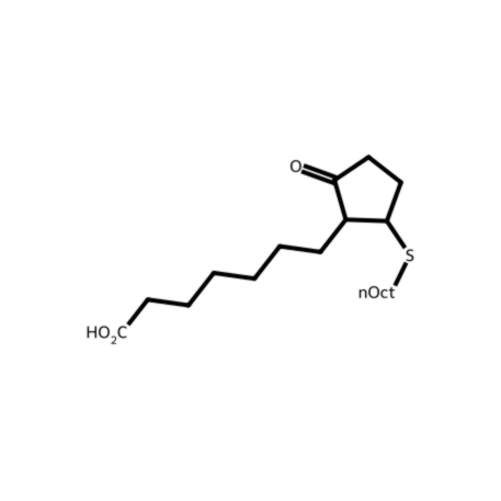 CCCCCCCCSC1CCC(=O)C1CCCCCCC(=O)O